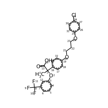 CC(Oc1cccc(C(F)(F)F)c1)(C(=O)O)c1ccc(OCCCOc2ccc(Cl)cc2)cc1